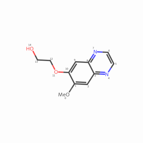 COc1cc2n[c]cnc2cc1OCCO